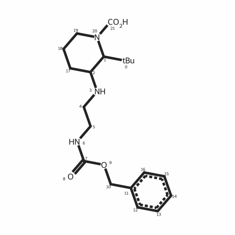 CC(C)(C)C1C(NCCNC(=O)OCc2ccccc2)CCCN1C(=O)O